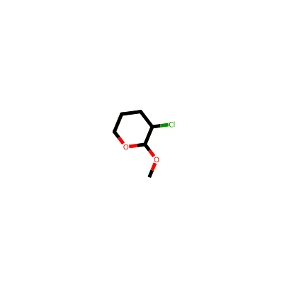 COC1OCCCC1Cl